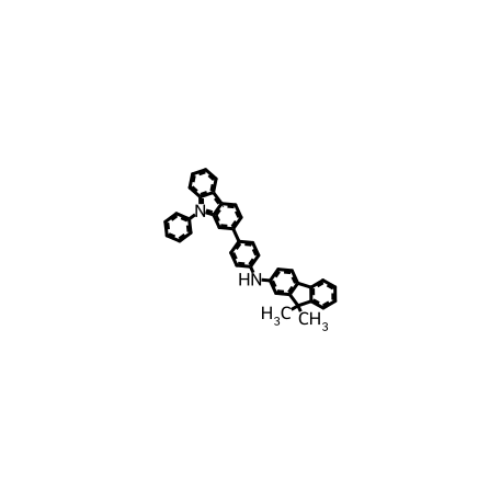 CC1(C)c2ccccc2-c2ccc(Nc3ccc(-c4ccc5c6ccccc6n(-c6ccccc6)c5c4)cc3)cc21